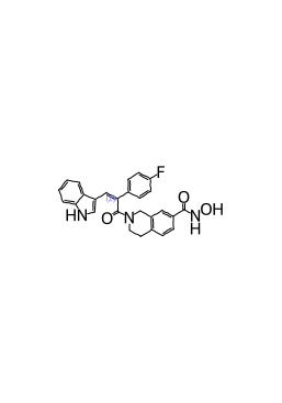 O=C(NO)c1ccc2c(c1)CN(C(=O)/C(=C\c1c[nH]c3ccccc13)c1ccc(F)cc1)CC2